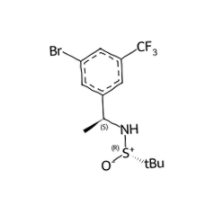 C[C@H](N[S@@+]([O-])C(C)(C)C)c1cc(Br)cc(C(F)(F)F)c1